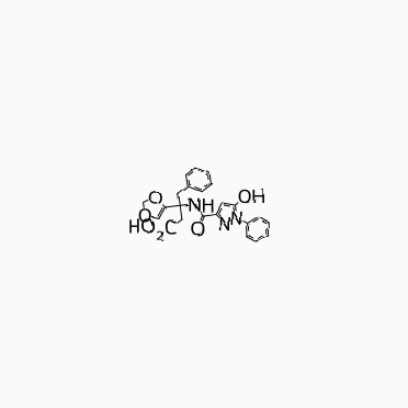 O=C(O)CC(Cc1ccccc1)(NC(=O)c1cc(O)n(-c2ccccc2)n1)C1=COCO1